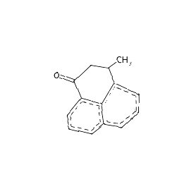 CC1CC(=O)c2cccc3cccc1c23